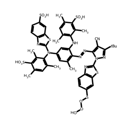 Cc1cc(N(c2nc3ccc(S(=O)(=O)O)cc3s2)c2c(C)cc(C)c(S(=O)(=O)O)c2C)cc(Nc2c(C)cc(C)c(S(=O)(=O)O)c2C)c1/N=N/c1c(C#N)c(C(C)(C)C)nn1-c1nc2ccc(SOOO)cc2s1